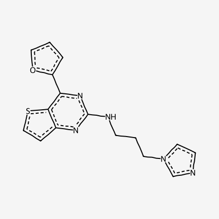 c1coc(-c2nc(NCCCn3ccnc3)nc3ccsc23)c1